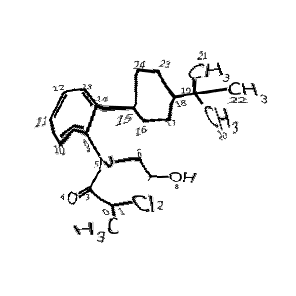 CC(Cl)C(=O)N(CCO)c1ccccc1C1CCC(C(C)(C)C)CC1